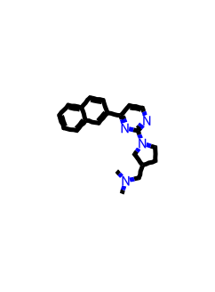 CN(C)CC1CCN(c2nccc(-c3ccc4ccccc4c3)n2)C1